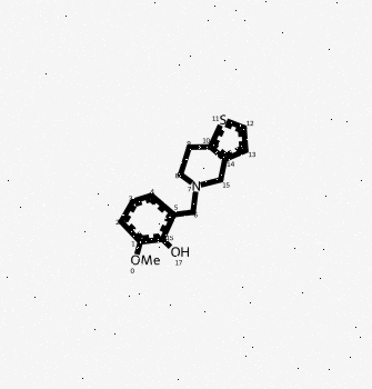 COc1cccc(CN2CCc3sccc3C2)c1O